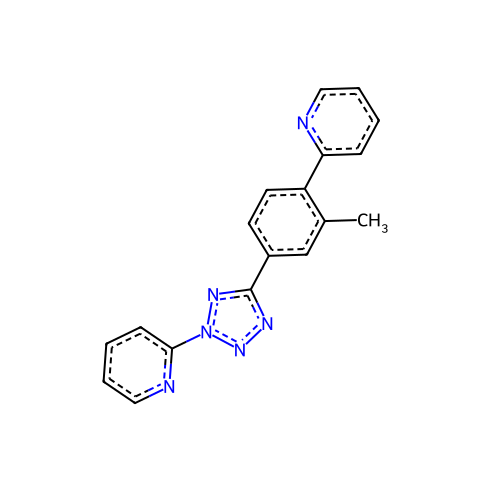 Cc1cc(-c2nnn(-c3ccccn3)n2)ccc1-c1ccccn1